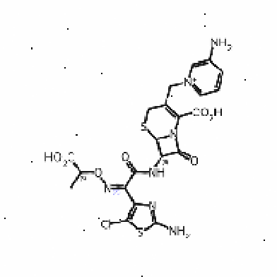 C[C@H](O/N=C(\C(=O)N[C@@H]1C(=O)N2C(C(=O)O)=C(C[n+]3cccc(N)c3)CSC12)c1nc(N)sc1Cl)C(=O)O